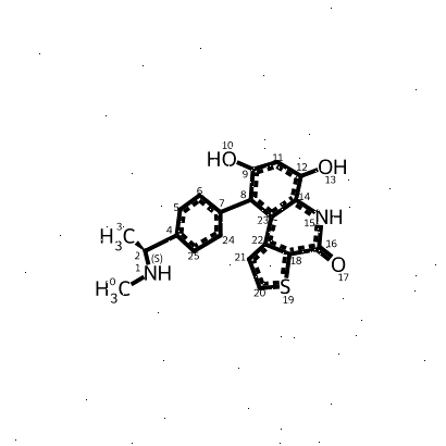 CN[C@@H](C)c1ccc(-c2c(O)cc(O)c3[nH]c(=O)c4sccc4c23)cc1